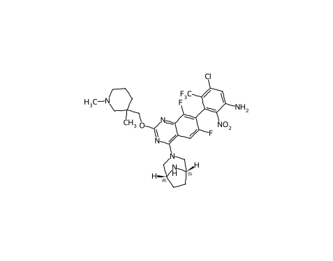 CN1CCCC(C)(COc2nc(N3C[C@H]4CC[C@@H](C3)N4)c3cc(F)c(-c4c([N+](=O)[O-])c(N)cc(Cl)c4C(F)(F)F)c(F)c3n2)C1